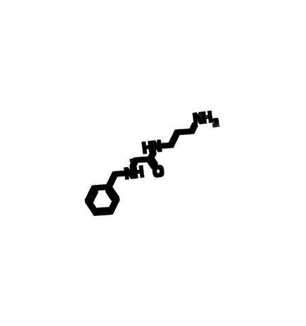 NCCCNC(=O)[CH]NCc1ccccc1